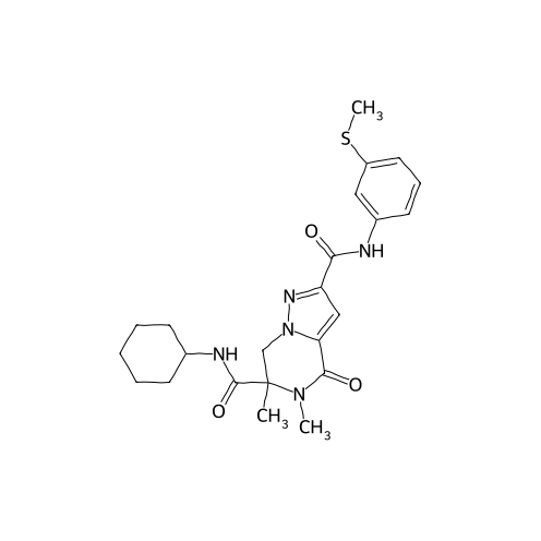 CSc1cccc(NC(=O)c2cc3n(n2)CC(C)(C(=O)NC2CCCCC2)N(C)C3=O)c1